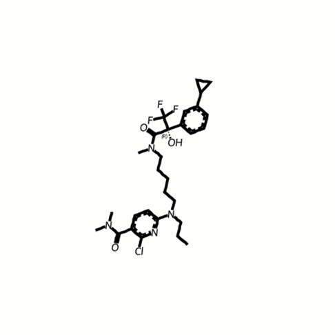 CCCN(CCCCCN(C)C(=O)[C@](O)(c1cccc(C2CC2)c1)C(F)(F)F)c1ccc(C(=O)N(C)C)c(Cl)n1